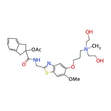 COc1cc2sc(CNC(=O)C3(OC(C)=O)Cc4ccccc4C3)nc2cc1OCCC[N+](C)(CCO)CCO